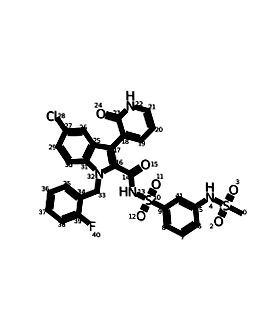 CS(=O)(=O)Nc1cccc(S(=O)(=O)NC(=O)c2c(-c3ccc[nH]c3=O)c3cc(Cl)ccc3n2Cc2ccccc2F)c1